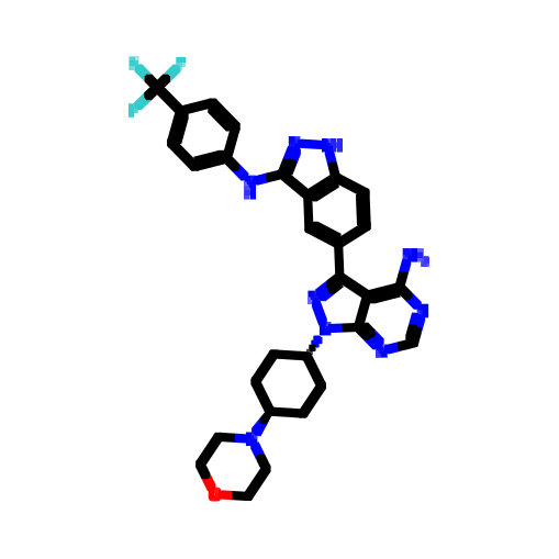 Nc1ncnc2c1c(-c1ccc3[nH]nc(Nc4ccc(C(F)(F)F)cc4)c3c1)nn2[C@H]1CC[C@H](N2CCOCC2)CC1